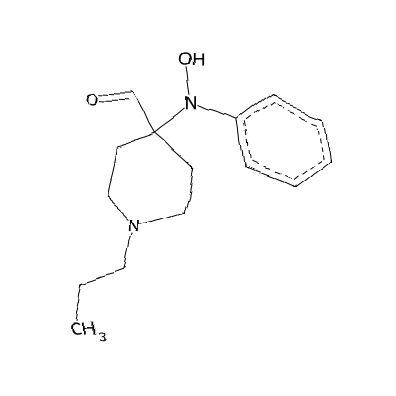 CCCN1CCC(C=O)(N(O)c2ccccc2)CC1